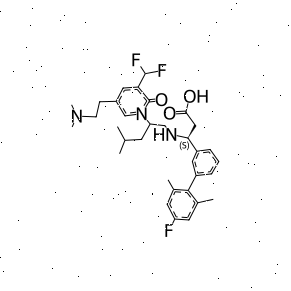 Cc1cc(F)cc(C)c1-c1cccc([C@H](CC(=O)O)NCC(CC(C)C)n2cc(CCN(C)C)cc(C(F)F)c2=O)c1